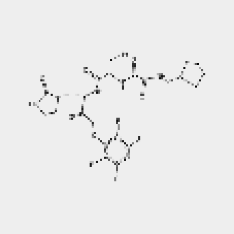 CC(C)C[C@H](NC(=O)C(=O)NCC1CCCC1)C(=O)N[C@@H](C[C@@H]1CCNC1=O)C(=O)COc1c(F)c(F)cc(F)c1F